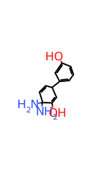 NC1(N)C=CC(c2cccc(O)c2)C=C1O